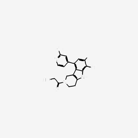 Cc1cc(-c2cc(Cl)c(Cl)c3[nH]c4c(c23)CN(C(=O)CO)CC4)ccn1